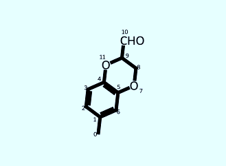 Cc1ccc2c(c1)OCC(C=O)O2